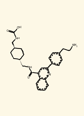 NCCc1ccc(-c2cc(C(=O)NC[C@H]3CC[C@H](CNC(=O)O)CC3)c3ccccc3n2)cc1